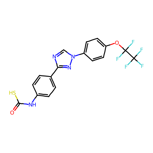 O=C(S)Nc1ccc(-c2ncn(-c3ccc(OC(F)(F)C(F)(F)F)cc3)n2)cc1